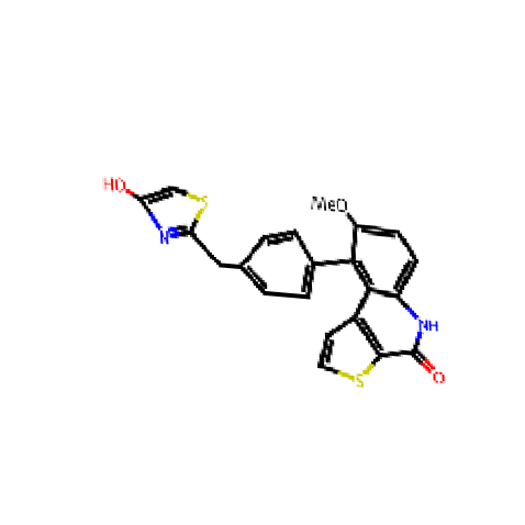 COc1ccc2[nH]c(=O)c3sccc3c2c1-c1ccc(Cc2nc(O)cs2)cc1